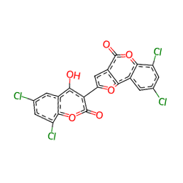 O=c1oc2c(Cl)cc(Cl)cc2c(O)c1-c1cc2c(=O)oc3c(Cl)cc(Cl)cc3c2o1